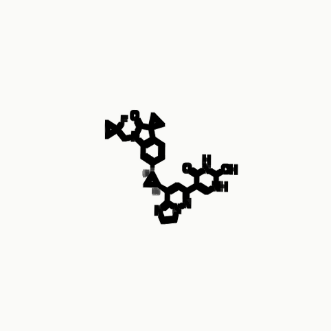 O=C1NC(O)NC=C1c1cc([C@H]2C[C@@H]2c2ccc3c(c2)N(CC2(F)CC2)C(=O)C32CC2)c2nccn2n1